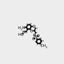 Cc1ccc(S(=O)(=O)OCC2COc3ccc(N)c(/C=N/O)c3O2)cc1